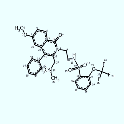 COc1ccc2c(=O)n(CCNS(=O)(=O)c3ccccc3OC(F)(F)F)c(CN(C)C)c(-c3ccccc3)c2c1